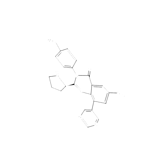 COc1ccc(-n2c([C@H]3CCCN3)nc3c(-c4cncnc4)cc([N+](=O)[O-])cc3c2=O)cc1